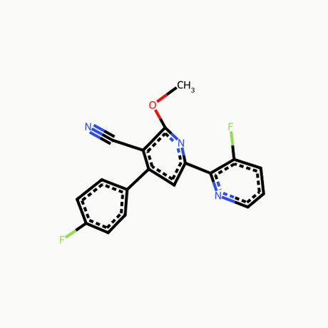 COc1nc(-c2ncccc2F)cc(-c2ccc(F)cc2)c1C#N